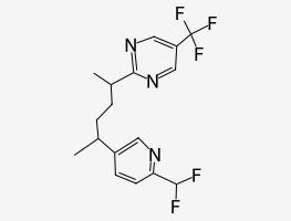 CC(CCC(C)c1ncc(C(F)(F)F)cn1)c1ccc(C(F)F)nc1